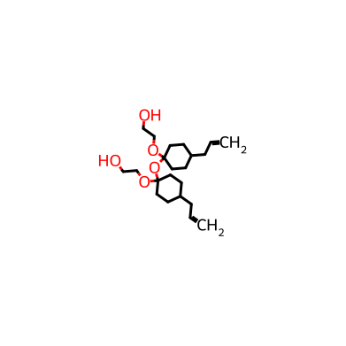 C=CCC1CCC(OCCO)(OC2(OCCO)CCC(CC=C)CC2)CC1